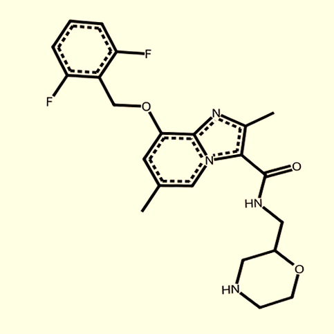 Cc1cc(OCc2c(F)cccc2F)c2nc(C)c(C(=O)NCC3CNCCO3)n2c1